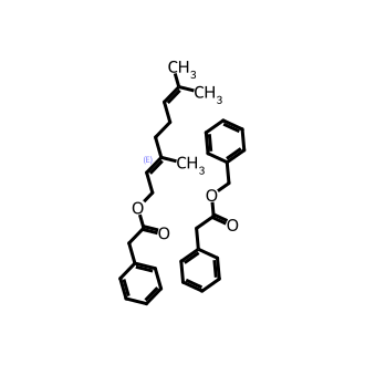 CC(C)=CCC/C(C)=C/COC(=O)Cc1ccccc1.O=C(Cc1ccccc1)OCc1ccccc1